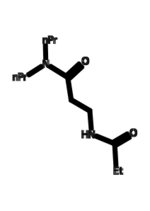 CCCN(CCC)C(=O)CCNC(=O)CC